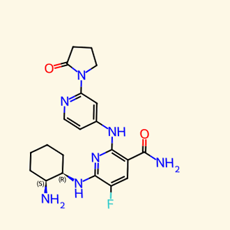 NC(=O)c1cc(F)c(N[C@@H]2CCCC[C@@H]2N)nc1Nc1ccnc(N2CCCC2=O)c1